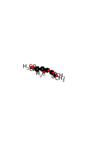 C=C(C)C(=O)Oc1ccc(C2=CC3C(=C)c4cc(-c5ccc(OC(=O)C(=C)C)cc5)ccc4C3C=C2)cc1